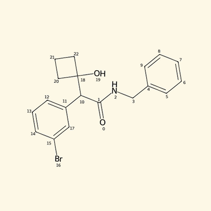 O=C(NCc1ccccc1)C(c1cccc(Br)c1)C1(O)CCC1